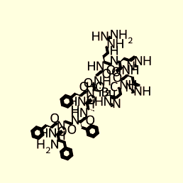 CC[C@H](C)[C@H](NC(=O)[C@H](Cc1ccccc1)NC(=O)[C@H](C)NC(=O)[C@H](Cc1ccccc1)NC(=O)CNC(=O)[C@H](Cc1ccccc1)NC(=O)[C@@H](N)Cc1ccccc1)C(=O)NCC(=O)N[C@@H](CCCNC(=N)N)C(=O)N[C@@H](Cc1c[nH]cn1)C(=O)N[C@@H](Cc1c[nH]cn1)C(=O)N[C@@H](Cc1c[nH]cn1)C(=O)O